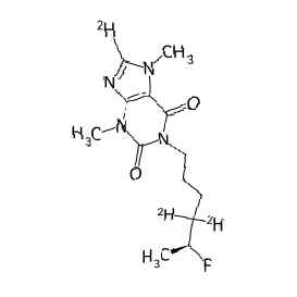 [2H]c1nc2c(c(=O)n(CCCC([2H])([2H])[C@H](C)F)c(=O)n2C)n1C